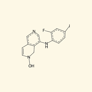 ON1C=Cc2cncc(Nc3ccc(I)cc3F)c2C1